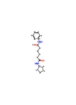 O=C(CCCCC(=O)NC1CCCC1)Nc1ccccc1